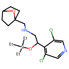 CC[Si](CC)(CC)OC(CNCC12CCC(CC1)O2)c1c(Cl)cncc1Cl